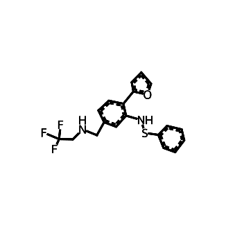 FC(F)(F)CNCc1ccc(-c2ccco2)c(NSc2ccccc2)c1